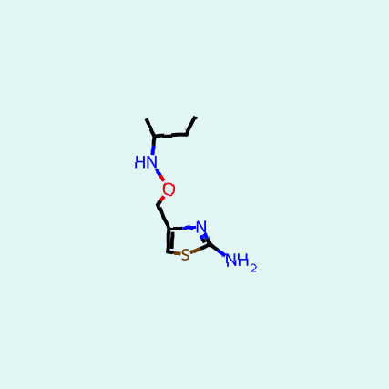 CCC(C)NOCc1csc(N)n1